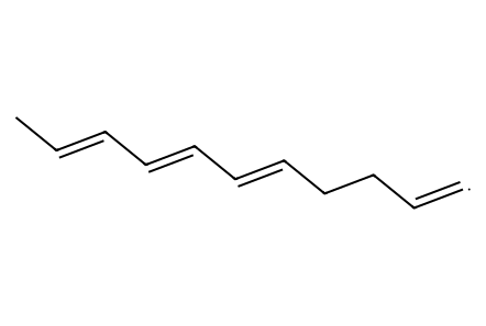 [CH]=CCCC=CC=CC=CC